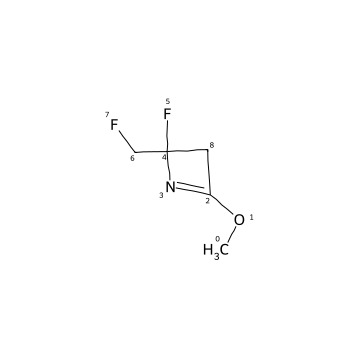 COC1=NC(F)(CF)C1